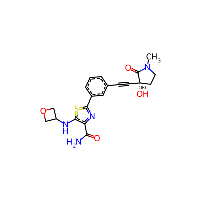 CN1CC[C@@](O)(C#Cc2cccc(-c3nc(C(N)=O)c(NC4COC4)s3)c2)C1=O